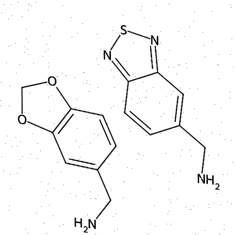 NCc1ccc2c(c1)OCO2.NCc1ccc2nsnc2c1